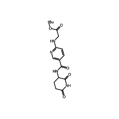 CC(C)(C)OC(=O)CNc1ccc(C(=O)NC2CCC(=O)NC2=O)cn1